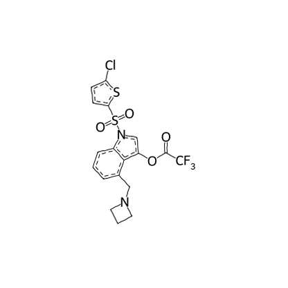 O=C(Oc1cn(S(=O)(=O)c2ccc(Cl)s2)c2cccc(CN3CCC3)c12)C(F)(F)F